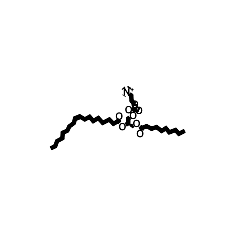 CCCCCCCC/C=C\CCCCCCCC(=O)O[C@H](COC(=O)CCCCCCCCC)COP(=O)([O-])OCC[N+](C)(C)C